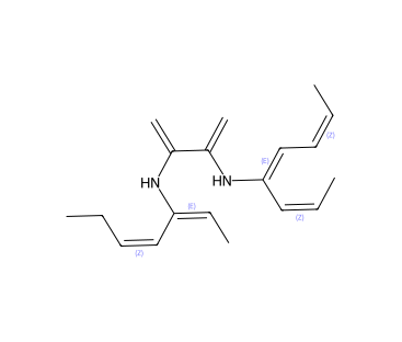 C=C(NC(/C=C\CC)=C/C)C(=C)NC(/C=C\C)=C/C=C\C